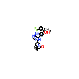 CC(O)(c1ccc(-c2nc([C@@H]3CC[C@@H]4N(C3)C(=O)CC43CC3)n3ccnc(N)c23)cc1)c1cccc(C(F)F)c1